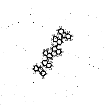 c1ccc2c(-c3ccc(-n4c5ccccc5c5ccccc54)c4ccccc34)ccc(-c3ccc(-c4ccc(-n5c6ccccc6c6ccccc65)c5ccccc45)c4ccccc34)c2c1